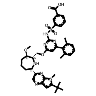 CO[C@@H]1CCC[C@@H](c2cnc3cc(C(C)(C)C)n(C)c3n2)N[C@H]1COc1cc(-c2c(C)cccc2C)nc(NS(=O)(=O)c2cccc(C(=O)O)c2)n1